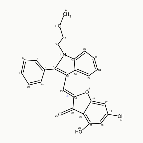 COCCn1c(-c2ccccc2)c(/C=C2\Oc3cc(O)cc(O)c3C2=O)c2ccccc21